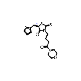 O=C(CCCN1C(=O)/C(=C\c2cccs2)SC1=S)N1CCOCC1